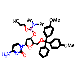 COc1ccc(C(OC[C@H]2O[C@@H](n3ccc(N)nc3=O)C[C@@H]2OP(OCCC#N)N(C(C)C)C(C)C)(c2ccccc2)c2ccc(OC)cc2)cc1